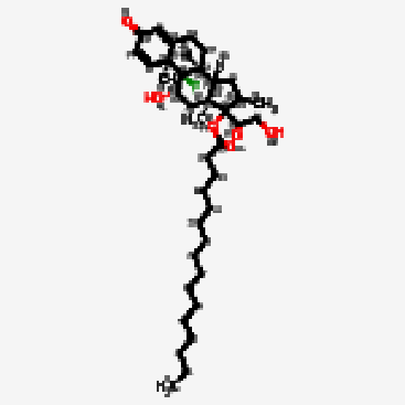 CCCCCCCCCCCCCCCC(=O)O[C@]1(C(=O)CO)[C@H](C)C[C@H]2[C@@H]3CCC4=CC(=O)C=C[C@]4(C)[C@@]3(F)[C@@H](O)C[C@@]21C